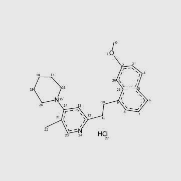 COc1ccc2cccc(CCc3cc(N4CCCCC4)c(C)cn3)c2c1.Cl